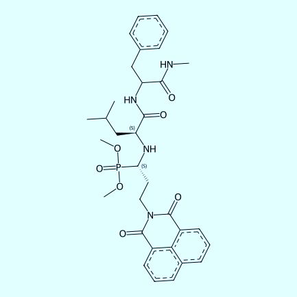 CNC(=O)C(Cc1ccccc1)NC(=O)[C@H](CC(C)C)N[C@H](CCN1C(=O)c2cccc3cccc(c23)C1=O)P(=O)(OC)OC